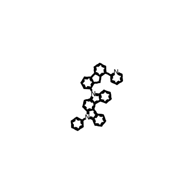 c1ccc(-n2c3ccccc3c3c4c5ccccc5n(-c5cccc6c5Cc5c(-c7ccccn7)cccc5-6)c4ccc32)cc1